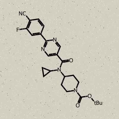 CC(C)(C)OC(=O)N1CCC(N(C(=O)c2cnc(-c3ccc(C#N)c(F)c3)nc2)C2CC2)CC1